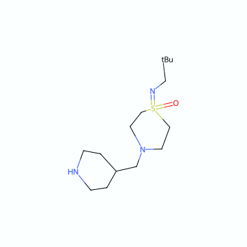 CC(C)(C)CN=S1(=O)CCN(CC2CCNCC2)CC1